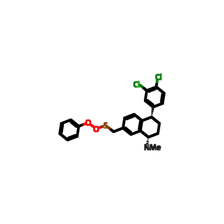 CN[C@H]1CC[C@@H](c2ccc(Cl)c(Cl)c2)c2ccc(CSOOc3ccccc3)cc21